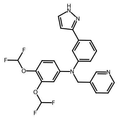 FC(F)Oc1ccc(N(Cc2cccnc2)c2cccc(-c3cc[nH]n3)c2)cc1OC(F)F